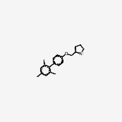 Cc1cc(C)c(-c2ccc(OCC3CCCN3)cc2)c(C)c1